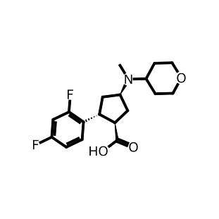 CN(C1CCOCC1)[C@H]1C[C@@H](C(=O)O)[C@H](c2ccc(F)cc2F)C1